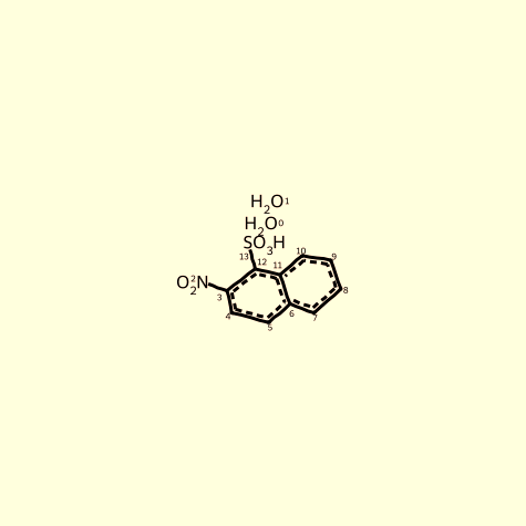 O.O.O=[N+]([O-])c1ccc2ccccc2c1S(=O)(=O)O